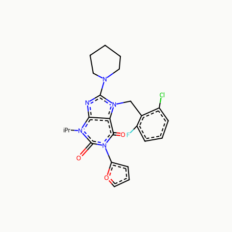 CC(C)n1c(=O)n(-c2ccco2)c(=O)c2c1nc(N1CCCCC1)n2Cc1c(F)cccc1Cl